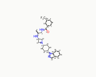 C=C(CNC(=O)c1cccc(C(F)(F)F)c1)NC1CN([C@H]2CC[C@@H](n3ncc4ccccc43)CC2)C1